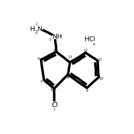 Cl.NNc1ccc(Cl)c2ccccc12